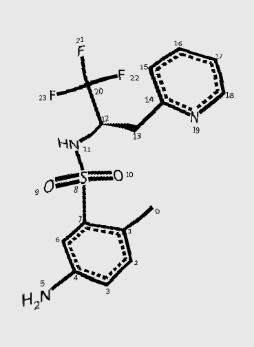 Cc1ccc(N)cc1S(=O)(=O)N[C@H](Cc1ccccn1)C(F)(F)F